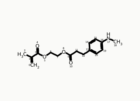 C=C(C)C(=O)OCCOC(=O)CCc1ccc(NC)cc1